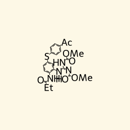 CCC(=O)Nc1ccc(Sc2ccc(C(C)=O)cc2)cc1NC(=NC(=O)OC)NC(=O)OC